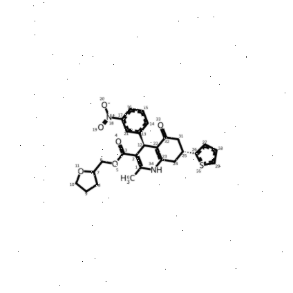 CC1=C(C(=O)OCC2CCCO2)[C@@H](c2cccc([N+](=O)[O-])c2)C2=C(C[C@@H](c3cccs3)CC2=O)N1